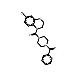 O=C(c1ccccn1)N1CCN(C(=O)N2CCOc3cc(Cl)ccc32)CC1